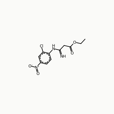 CCOC(=O)CC(=N)Nc1ccc([N+](=O)[O-])cc1Cl